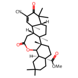 [C-]#[N+]C1=C[C@]2(C)[C@H]3CC(=O)OC4[C@@H]5CC(C)(C)CC[C@]5(C(=O)OC)CC[C@@]4(C)[C@]3(C)CC[C@H]2C(C)(C)C1=O